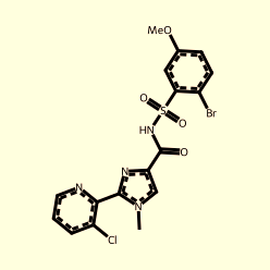 COc1ccc(Br)c(S(=O)(=O)NC(=O)c2cn(C)c(-c3ncccc3Cl)n2)c1